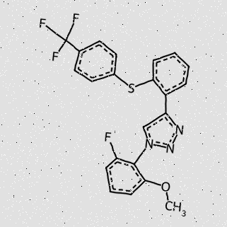 COc1cccc(F)c1-n1cc(-c2ccccc2Sc2ccc(C(F)(F)F)cc2)nn1